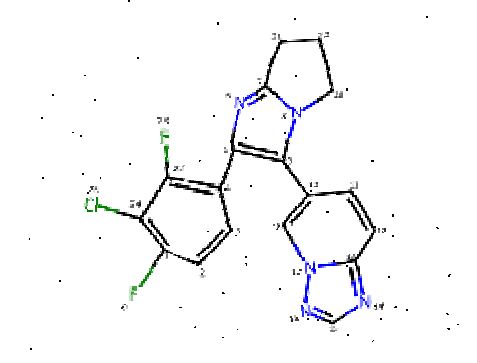 Fc1ccc(-c2nc3n(c2-c2ccc4ncnn4c2)CCC3)c(F)c1Cl